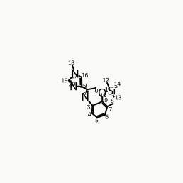 CC(=Nc1cccc(C)c1O[Si](C)(C)C)c1cn(C)cn1